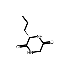 CCC[C@@H]1NC(=O)CNC1=O